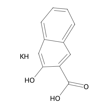 O=C(O)c1cc2ccccc2cc1O.[KH]